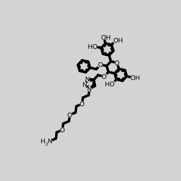 NCCOCCOCCOCCn1cc(COC2c3c(O)cc(O)cc3OC(c3cc(O)c(O)c(O)c3)C2OCc2ccccc2)nn1